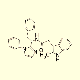 Cc1[nH]c2ccccc2c1CC(=O)NC(Cc1ccccc1)c1nccn1-c1ccccc1